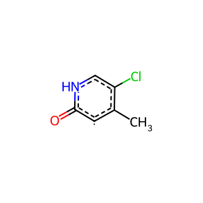 Cc1[c]c(=O)[nH]cc1Cl